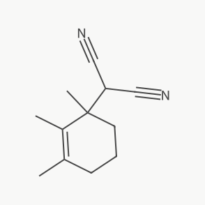 CC1=C(C)C(C)(C(C#N)C#N)CCC1